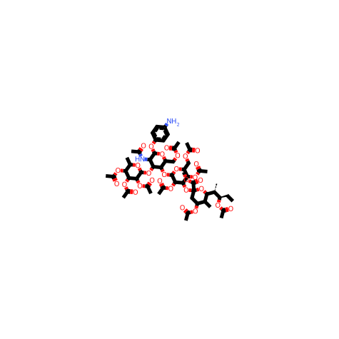 CC[C@@H](OC(C)=O)[C@@H](C)C1OC(OC2C(OC(C)=O)C(COC(C)=O)OC(OC3C(COC(C)=O)OC(Oc4ccc(N)cc4)C(NC(C)=O)C3OC3OC(C)C(OC(C)=O)C(OC(C)=O)C3OC(C)=O)C2OC(C)=O)(C(=O)OC)CC(OC(C)=O)C1C